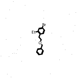 CCc1cc(Br)ccc1CCOCc1ccccc1